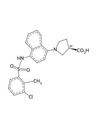 Cc1c(Cl)cccc1S(=O)(=O)Nc1ccc(N2CC[C@@H](C(=O)O)C2)c2ccccc12